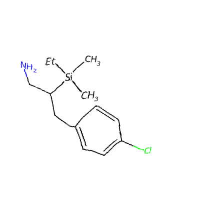 CC[Si](C)(C)C(CN)Cc1ccc(Cl)cc1